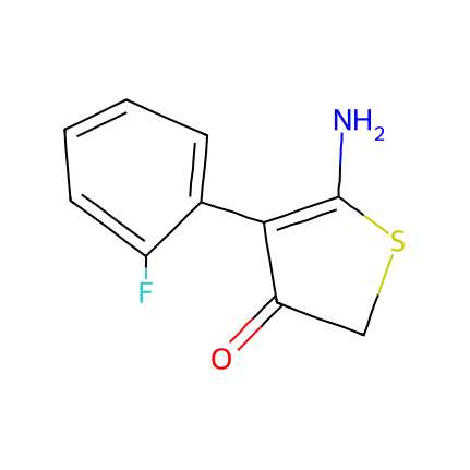 NC1=C(c2ccccc2F)C(=O)CS1